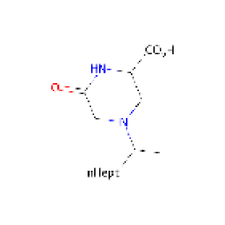 CCCCCCCC(C)N1CC(=O)NC(C(=O)O)C1